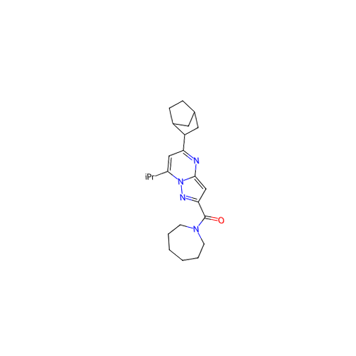 CC(C)c1cc(C2CC3CCC2C3)nc2cc(C(=O)N3CCCCCC3)nn12